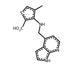 Cc1csc(C(=O)O)c1NCc1ccnc2[nH]ccc12